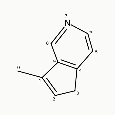 CC1=CCc2ccncc21